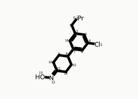 CC(C)Cc1cc(Cl)cc(C2CCC(=NO)CC2)c1